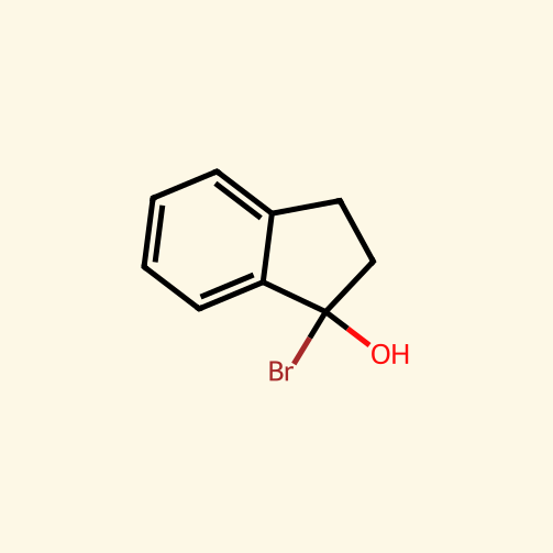 OC1(Br)CCc2ccccc21